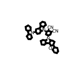 N#Cc1cc(-n2c3ccccc3c3c4oc5ccccc5c4ccc32)cc(-n2c3ccccc3c3cc(-n4c5ccccc5c5ccccc54)ccc32)c1C#N